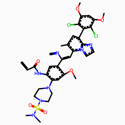 C=CC(=O)Nc1cc(/C(=C/c2c(C)cc(-c3c(Cl)c(OC)cc(OC)c3Cl)c3nccn23)N=C)c(OC)cc1N1CCN(S(=O)(=O)N(C)C)CC1